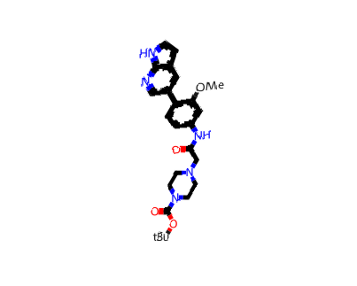 COc1cc(NC(=O)CN2CCN(C(=O)OC(C)(C)C)CC2)ccc1-c1cnc2[nH]ccc2c1